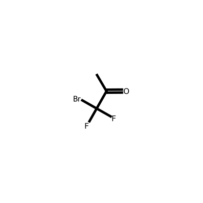 CC(=O)C(F)(F)Br